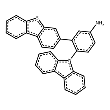 Nc1ccc(-n2c3ccccc3c3ccccc32)c(-c2ccc3c(c2)sc2ccccc23)c1